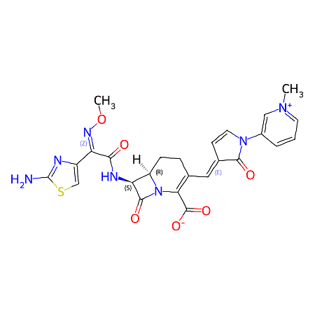 CO/N=C(\C(=O)N[C@@H]1C(=O)N2C(C(=O)[O-])=C(/C=C3\C=CN(c4ccc[n+](C)c4)C3=O)CC[C@H]12)c1csc(N)n1